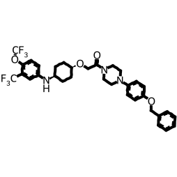 O=C(CO[C@H]1CC[C@H](Nc2ccc(OC(F)(F)F)c(C(F)(F)F)c2)CC1)N1CCN(c2ccc(OCc3ccccc3)cc2)CC1